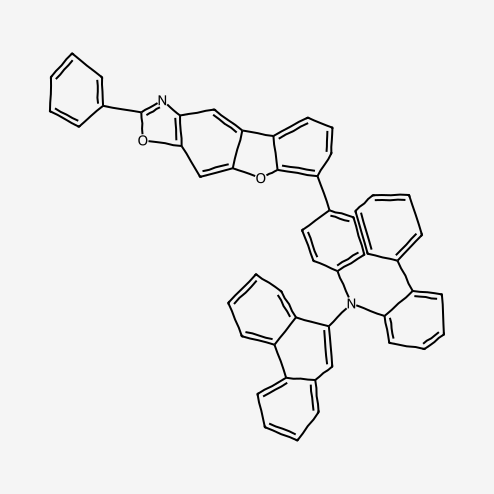 c1ccc(-c2nc3cc4c(cc3o2)oc2c(-c3ccc(N(c5ccccc5-c5ccccc5)c5cc6ccccc6c6ccccc56)cc3)cccc24)cc1